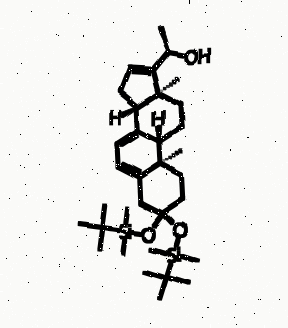 C[C@@H](O)C1=CC[C@H]2C3=CC=C4CC(O[Si](C)(C)C(C)(C)C)(O[Si](C)(C)C(C)(C)C)CC[C@]4(C)[C@H]3CC[C@]12C